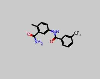 Cc1ccc(NC(=O)c2cccc(C(F)(F)F)c2)cc1C(N)=O